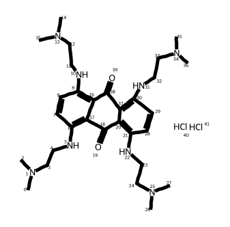 CN(C)CCNc1ccc(NCCN(C)C)c2c1C(=O)c1c(NCCN(C)C)ccc(NCCN(C)C)c1C2=O.Cl.Cl